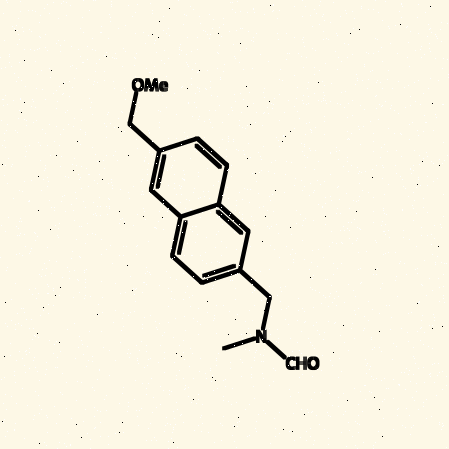 COCc1ccc2cc(CN(C)C=O)ccc2c1